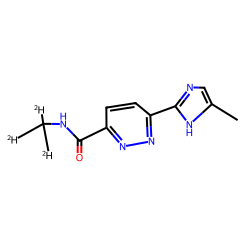 [2H]C([2H])([2H])NC(=O)c1ccc(-c2ncc(C)[nH]2)nn1